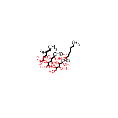 CCCCCCC(=O)[O-].CCCCCCC(=O)[O-].O=CC(O)C(O)C(O)C(O)CO.O=CC(O)C(O)C(O)C(O)CO.[Fe+2]